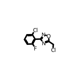 Fc1cccc(Cl)c1-c1noc(CCl)n1